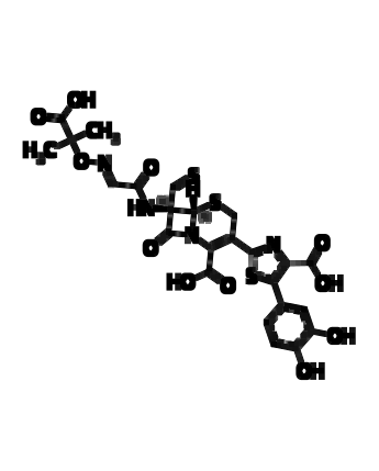 CC(C)(ON=CC(=O)N[C@]1(C=S)C(=O)N2C(C(=O)O)=C(c3nc(C(=O)O)c(-c4ccc(O)c(O)c4)s3)CS[C@H]21)C(=O)O